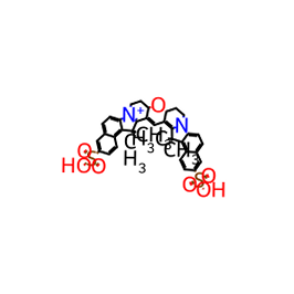 CC1(C)C2=C3C=C4C5=[N+](CCC4OC3CCN2c2ccc3cc(S(=O)(=O)O)ccc3c21)c1ccc2cc(S(=O)(=O)O)ccc2c1C5(C)C